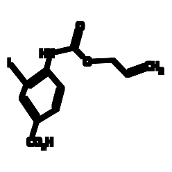 C=CCOC(=O)Nc1ccc(C(=O)O)cc1I